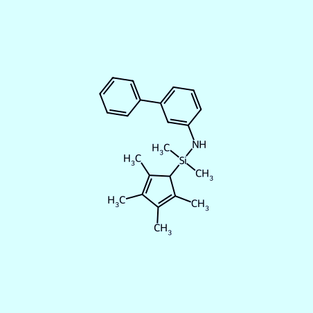 CC1=C(C)C([Si](C)(C)Nc2cccc(-c3ccccc3)c2)C(C)=C1C